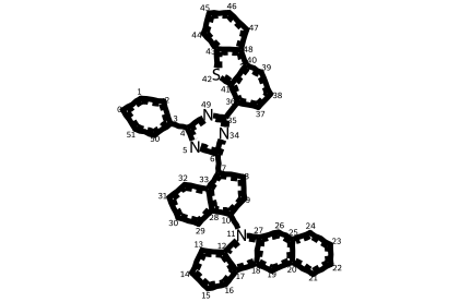 c1ccc(-c2nc(-c3ccc(-n4c5ccccc5c5cc6ccccc6cc54)c4ccccc34)nc(-c3cccc4c3sc3ccccc34)n2)cc1